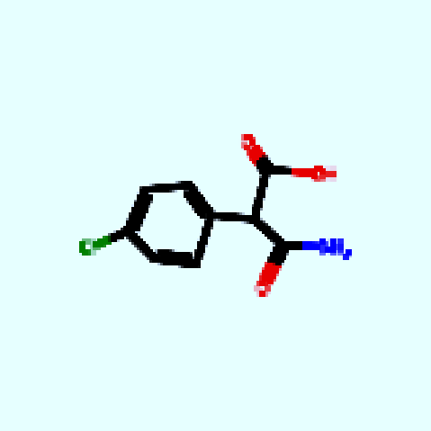 NC(=O)C(C(=O)O)c1ccc(Cl)cc1